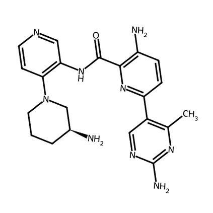 Cc1nc(N)ncc1-c1ccc(N)c(C(=O)Nc2cnccc2N2CCC[C@H](N)C2)n1